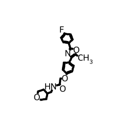 Cc1oc(-c2ccc(F)cc2)nc1-c1ccc(OCC(=O)NCC2CCOCC2)cc1